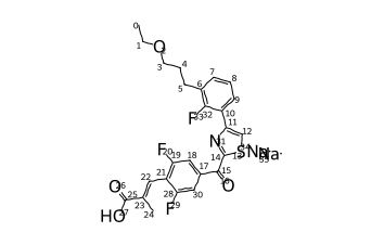 CCOCCCc1cccc(-c2csc(C(=O)c3cc(F)c(C=C(C)C(=O)O)c(F)c3)n2)c1F.[Na].[Na]